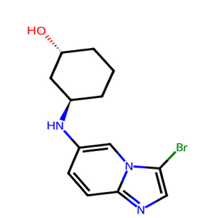 O[C@@H]1CCC[C@@H](Nc2ccc3ncc(Br)n3c2)C1